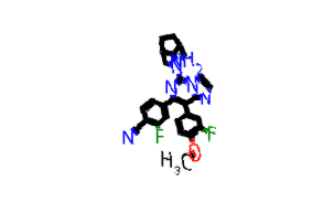 COc1ccc(-c2c(-c3ccc(C#N)c(F)c3)nc(N3CC4CCC(C3)C4N)n3ccnc23)cc1F